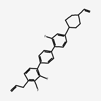 C=CCc1ccc(-c2ccc(-c3ccc(C4CCC(C=C)CC4)cc3F)cc2)c(F)c1F